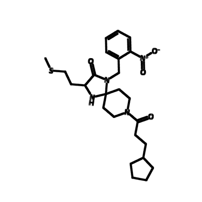 CSCCC1NC2(CCN(C(=O)CCC3CCCC3)CC2)N(Cc2ccccc2[N+](=O)[O-])C1=O